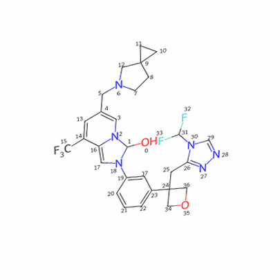 OC1N2C=C(CN3CCC4(CC4)C3)C=C(C(F)(F)F)C2=CN1c1cccc(C2(Cc3nncn3C(F)F)COC2)c1